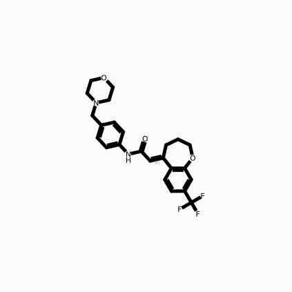 O=C(/C=C1\CCCOc2cc(C(F)(F)F)ccc21)Nc1ccc(CN2CCOCC2)cc1